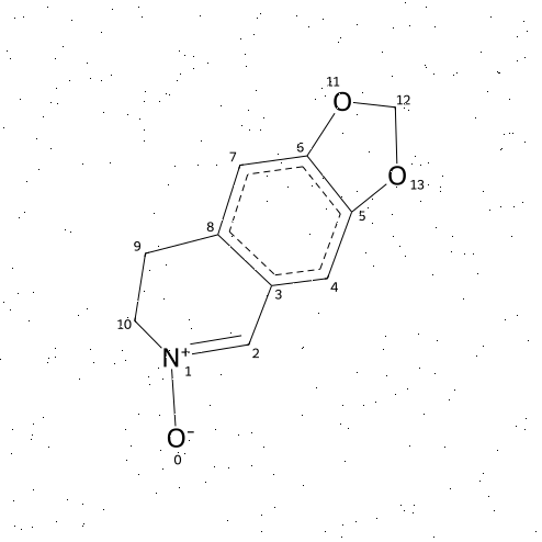 [O-][N+]1=Cc2cc3c(cc2CC1)OCO3